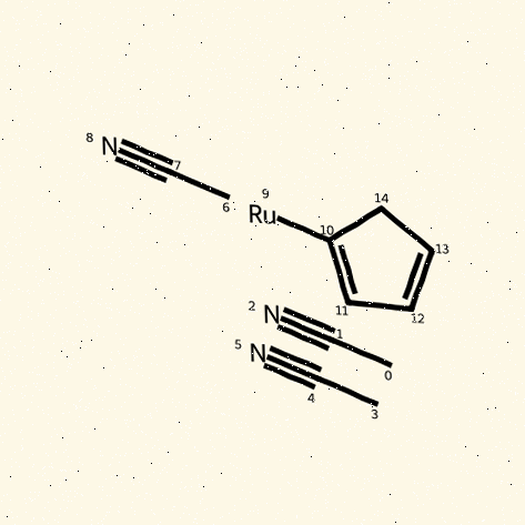 CC#N.CC#N.CC#N.[Ru][C]1=CC=CC1